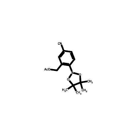 [C-]#[N+]c1ccc(B2OC(C)(C)C(C)(C)O2)c(COC(C)=O)c1